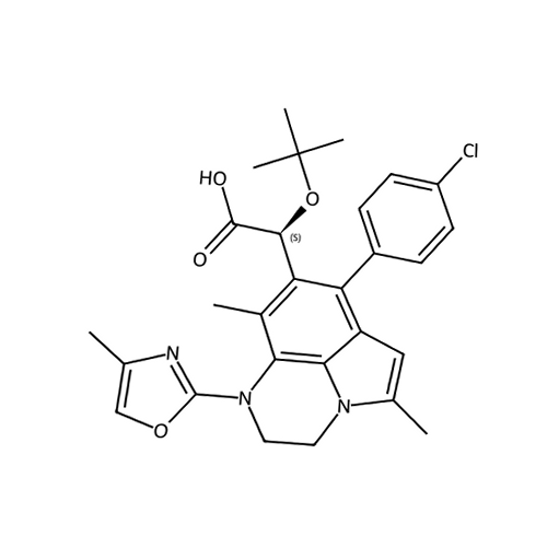 Cc1coc(N2CCn3c(C)cc4c(-c5ccc(Cl)cc5)c([C@H](OC(C)(C)C)C(=O)O)c(C)c2c43)n1